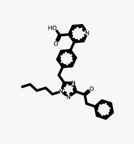 CCCCCn1nc(C(=O)Cc2ccccc2)nc1Cc1ccc(-c2cnccc2C(=O)O)cc1